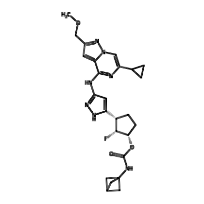 COCc1cc2c(Nc3cc([C@@H]4CC[C@H](OC(=O)NC56CC(C5)C6)[C@@H]4F)[nH]n3)nc(C3CC3)cn2n1